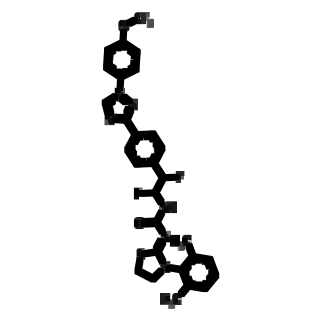 Cc1cccc(C)c1N1CCS/C1=N\C(=O)NC(F)C(F)c1ccc(-c2ncn(-c3ccc(OC(F)(F)F)cc3)n2)cc1